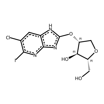 OC[C@H]1OC[C@@H](Oc2nc3nc(I)c(Cl)cc3[nH]2)[C@@H]1O